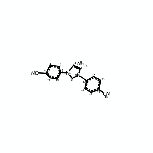 N.N#Cc1ccc(N2C=CN(c3ccc(C#N)cc3)C2)cc1